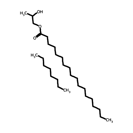 CCCCCCCC.CCCCCCCCCCCCCCCCCC(=O)OCC(C)O